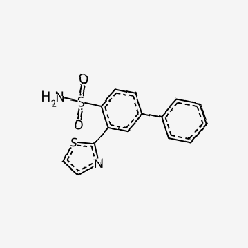 NS(=O)(=O)c1ccc(-c2ccccc2)cc1-c1nccs1